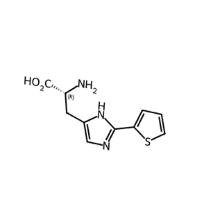 N[C@H](Cc1cnc(-c2cccs2)[nH]1)C(=O)O